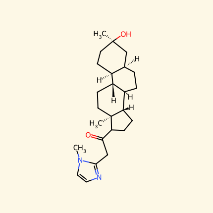 Cn1ccnc1CC(=O)C1CC[C@H]2[C@@H]3CC[C@@H]4C[C@](C)(O)CC[C@@H]4[C@H]3CC[C@]12C